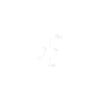 Cn1c(CC(C)(C)C)ncc(O)c1=O